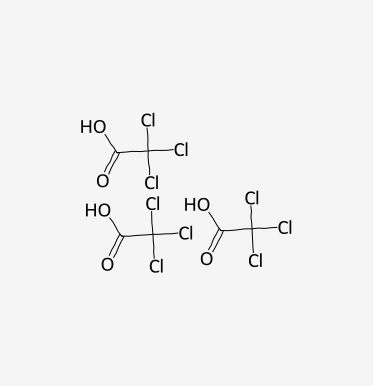 O=C(O)C(Cl)(Cl)Cl.O=C(O)C(Cl)(Cl)Cl.O=C(O)C(Cl)(Cl)Cl